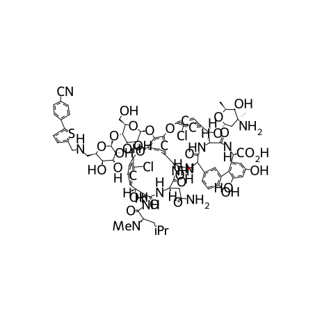 CN[C@H](CC(C)C)C(=O)N[C@H]1C(=O)N[C@@H](CC(N)=O)C(=O)N[C@H]2C(=O)N[C@H]3C(=O)N[C@H](C(=O)N[C@@H](C(=O)O)c4cc(O)cc(O)c4-c4cc3ccc4O)[C@H](O[C@H]3C[C@](C)(N)[C@@H](O)[C@H](C)O3)c3ccc(c(Cl)c3)Oc3cc2cc(c3O[C@@H]2O[C@H](CO)[C@@H](O[C@@H]3O[C@H](CNCc4ccc(-c5ccc(C#N)cc5)s4)[C@H](O)[C@H](O)[C@H]3O)[C@H](O)[C@H]2O)Oc2ccc(cc2Cl)[C@H]1O